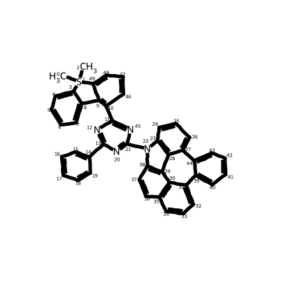 CS1(C)c2ccccc2-c2c(-c3nc(-c4ccccc4)nc(-n4c5cccc6c5c5c7c(cccc7ccc54)-c4ccccc4-6)n3)cccc21